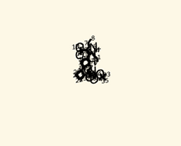 CCC[N+]1(C)N=C(CC)C(C(=O)OC)=C1c1ccc(-c2ccccc2S(=O)(=O)NC(=O)OC(C)(C)C)cc1